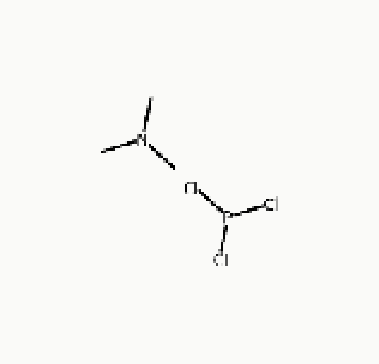 CN(C)C.ClP(Cl)Cl